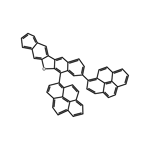 c1ccc2cc3c(cc2c1)oc1c(-c2ccc4ccc5cccc6ccc2c4c56)c2cc(-c4ccc5ccc6cccc7ccc4c5c67)ccc2cc13